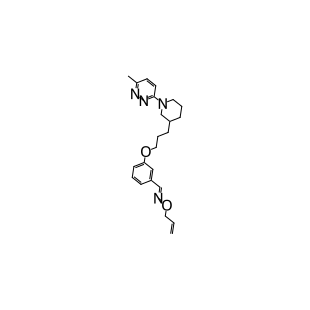 C=CCON=Cc1cccc(OCCCC2CCCN(c3ccc(C)nn3)C2)c1